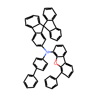 c1ccc(-c2ccc(N(c3ccc4c(c3)C3(c5ccccc5-c5ccccc53)c3ccccc3-4)c3cccc4c3oc3c(-c5ccccc5)cccc34)cc2)cc1